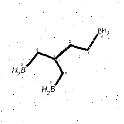 BCCC(CB)CB